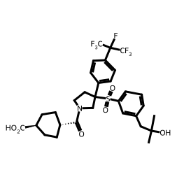 CC(C)(O)Cc1cccc(S(=O)(=O)C2(c3ccc(C(F)(C(F)(F)F)C(F)(F)F)cc3)CCN(C(=O)[C@H]3CC[C@H](C(=O)O)CC3)C2)c1